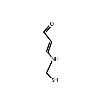 O=C/C=C/NCS